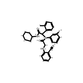 Cc1ccccc1C(C(=O)NC1CCCCC1)N(C(=O)CNc1ccccc1C#N)c1cccc(F)c1